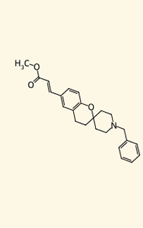 COC(=O)C=Cc1ccc2c(c1)CCC1(CCN(Cc3ccccc3)CC1)O2